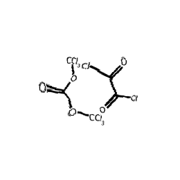 O=C(Cl)C(=O)Cl.O=C(OC(Cl)(Cl)Cl)OC(Cl)(Cl)Cl